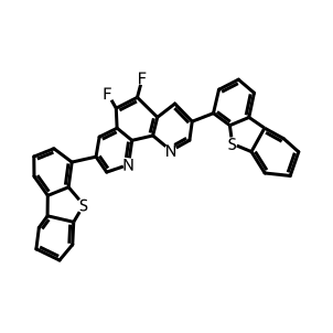 Fc1c(F)c2cc(-c3cccc4c3sc3ccccc34)cnc2c2ncc(-c3cccc4c3sc3ccccc34)cc12